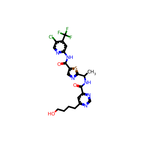 CC(NC(=O)c1cc(CCCCO)ncn1)c1ncc(C(=O)Nc2cc(C(F)(F)F)c(Cl)cn2)s1